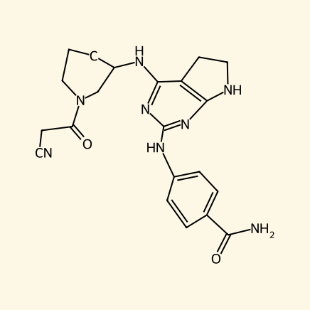 N#CCC(=O)N1CCCC(Nc2nc(Nc3ccc(C(N)=O)cc3)nc3c2CCN3)C1